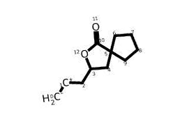 [CH2-][CH+]CC1CC2(CCCC2)C(=O)O1